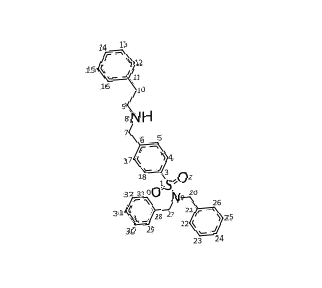 O=S(=O)(c1ccc(CNCCc2ccccc2)cc1)N(Cc1ccccc1)Cc1ccccc1